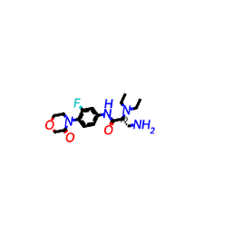 CCN(CC)[C@H](CN)C(=O)Nc1ccc(N2CCOCC2=O)c(F)c1